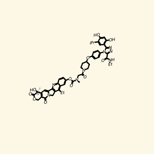 CCNC(=O)c1nnc(-c2cc(C(C)C)c(O)cc2O)n1-c1ccc(OC2CCN(C(=O)CN(C)C(=O)Oc3ccc4nc5c(c(CC)c4c3)Cn3c-5cc4c(c3=O)COC(=O)[C@@]4(C)O)CC2)cc1